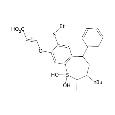 CCCCC1CC(c2ccccc2)c2cc(SCC)c(O/C=C/C(=O)O)cc2S(O)(O)C1C